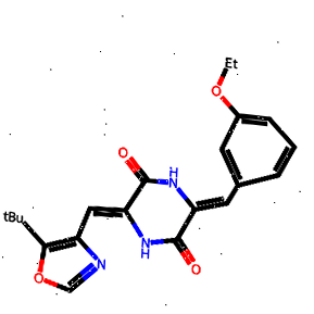 CCOc1cccc(C=c2[nH]c(=O)c(=Cc3ncoc3C(C)(C)C)[nH]c2=O)c1